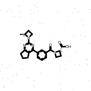 C[C@H]1CCN1c1nc2c(c(-c3cccc(C(=O)N4CC[C@H]4C(=O)O)c3)n1)CCC2